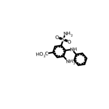 Nc1cc(C(=O)O)cc(S(N)(=O)=O)c1Nc1ccccc1